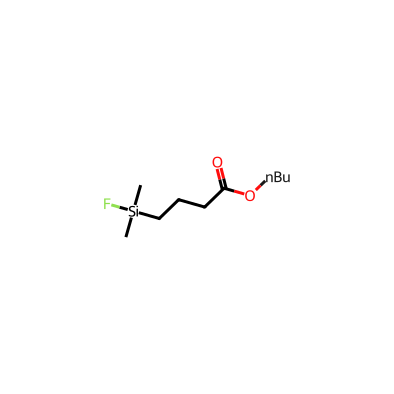 CCCCOC(=O)CCC[Si](C)(C)F